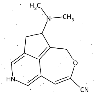 CN(C)C1CC2=CNC=C3C=C(C#N)OCC1=C32